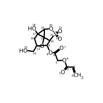 C=CC(=O)OCC(=O)OC1C2C34OC1(CO)CC3(O)C4OS2(=O)=O